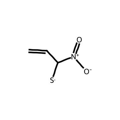 C=CC([S])[N+](=O)[O-]